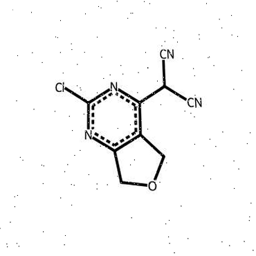 N#CC(C#N)c1nc(Cl)nc2c1COC2